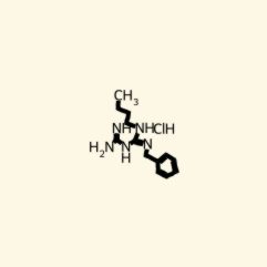 CCCCNC(=NCc1ccccc1)NC(=N)N.Cl